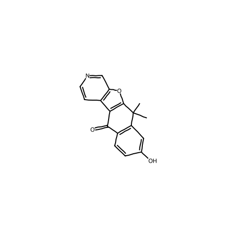 CC1(C)c2cc(O)ccc2C(=O)c2c1oc1cnccc21